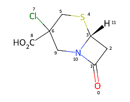 O=C1C[C@H]2SCC(Cl)(C(=O)O)CN12